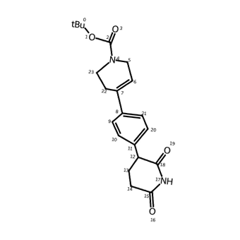 CC(C)(C)OC(=O)N1CC=C(c2ccc(C3CCC(=O)NC3=O)cc2)CC1